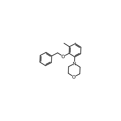 Cc1[c]ccc(N2CCOCC2)c1OCc1ccccc1